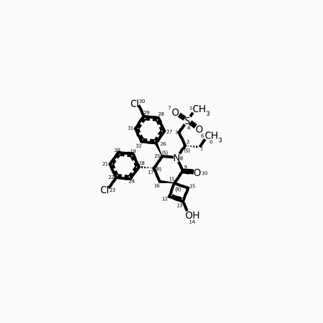 CC[C@@H](CS(C)(=O)=O)N1C(=O)[C@]2(C=C(O)C2)C[C@H](c2cccc(Cl)c2)[C@H]1c1ccc(Cl)cc1